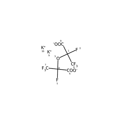 O=C([O-])C(F)(OC(F)(C(=O)[O-])C(F)(F)F)C(F)(F)F.[K+].[K+]